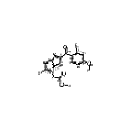 COC(=O)Cn1c(C)cc2cc(C(=O)c3ccc(OC)cc3F)sc21